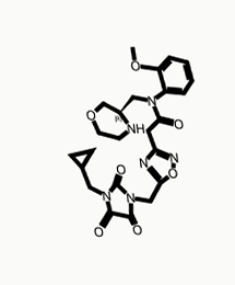 COc1ccccc1N(C[C@@H]1COCCN1)C(=O)Cc1noc(CN2C(=O)C(=O)N(CC3CC3)C2=O)n1